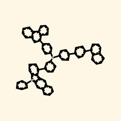 c1ccc(-n2c3cc4ccccc4cc3c3c(-c4cccc(N(c5ccc(-c6ccc(-c7cccc8ccccc78)cc6)cc5)c5ccc(-c6cc7ccccc7c7ccccc67)cc5)c4)cccc32)cc1